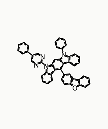 c1ccc(-c2cnc(-n3c4ccccc4c4c(-c5ccc6oc7ccccc7c6c5)c5c6ccccc6n(-c6ccccc6)c5cc43)nc2)cc1